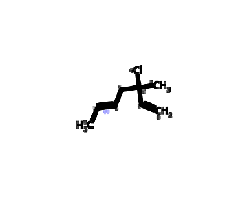 C=CC(C)(Cl)C/C=C/C